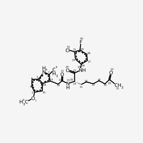 COc1ccc2[nH]c(C)c(CC(=O)N[C@@H](CCCCCC(C)=O)C(=O)Nc3ccc(F)c(Cl)c3)c2c1